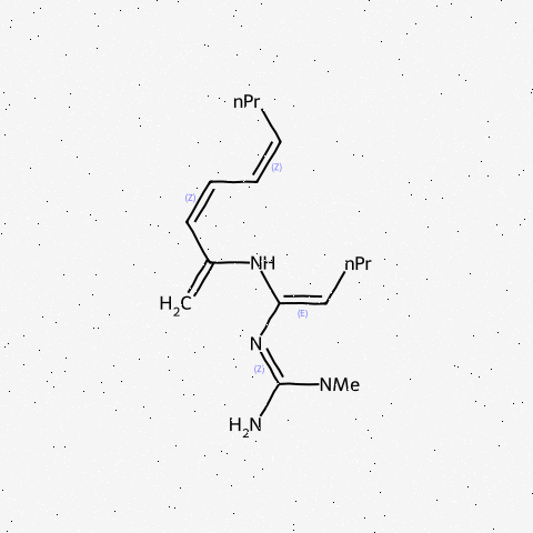 C=C(/C=C\C=C/CCC)NC(=C\CCC)/N=C(/N)NC